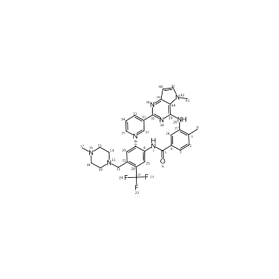 Cc1ccc(C(=O)Nc2ccc(CN3CCN(C)CC3)c(C(F)(F)F)c2)cc1Nc1nc(-c2cccnc2)nc2ccn(C)c12